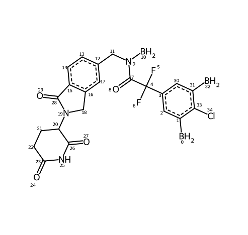 Bc1cc(C(F)(F)C(=O)N(B)Cc2ccc3c(c2)CN(C2CCC(=O)NC2=O)C3=O)cc(B)c1Cl